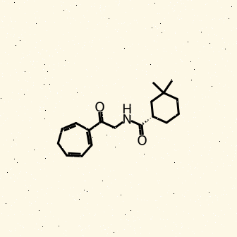 CC1(C)CCC[C@H](C(=O)NCC(=O)C2=CC=CCC=C2)C1